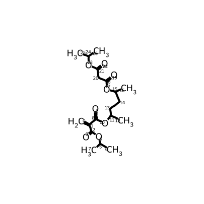 C=C(C(=O)OC(C)C)C(=O)OC(C)CCC(C)OC(=O)CC(=O)OC(C)C